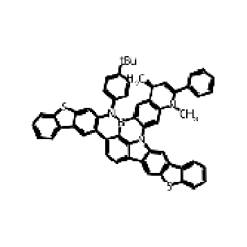 C=C1C=C(c2ccccc2)N(C)c2cc3c(cc21)B1c2c(ccc4c5cc6sc7ccccc7c6cc5n-3c24)-c2cc3c(cc2N1c1ccc(C(C)(C)C)cc1)sc1ccccc13